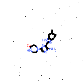 Cc1ccc2nc(-c3nc(N4CCNC(=O)CC4)cnc3N)[nH]c2c1